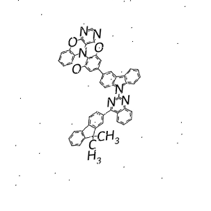 CC1(C)c2ccccc2-c2ccc(-c3nc(-n4c5ccccc5c5cc(-c6cc7c8c(c6)Oc6ncnc9c6N8c6c(cccc6O9)O7)ccc54)nc4ccccc34)cc21